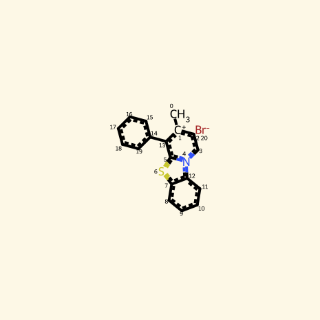 C[c+]1ccn2c(sc3ccccc32)c1-c1ccccc1.[Br-]